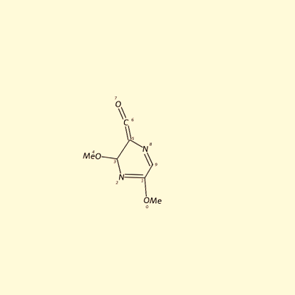 COC1=NC(OC)C(=C=O)N=C1